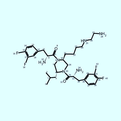 CC(C)C[C@@H]1CN(C(=O)[C@H](N)Cc2ccc(F)c(F)c2)[C@@H](CCCCNCCN)CN1C(=O)[C@H](N)Cc1ccc(F)c(F)c1